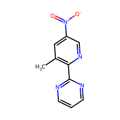 Cc1cc([N+](=O)[O-])cnc1-c1ncccn1